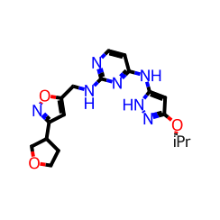 CC(C)Oc1cc(Nc2ccnc(NCc3cc(C4CCOC4)no3)n2)[nH]n1